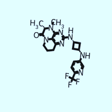 C[C@H]1C(=O)N2CCCc3nc(N[C@H]4C[C@H](Nc5ccc(C(F)(F)F)nc5)C4)nc(c32)N1C